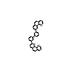 c1cc(-c2cccc(-c3ccc4ccc5cccnc5c4n3)c2)cc(-c2ccc3ccc4cccnc4c3c2)c1